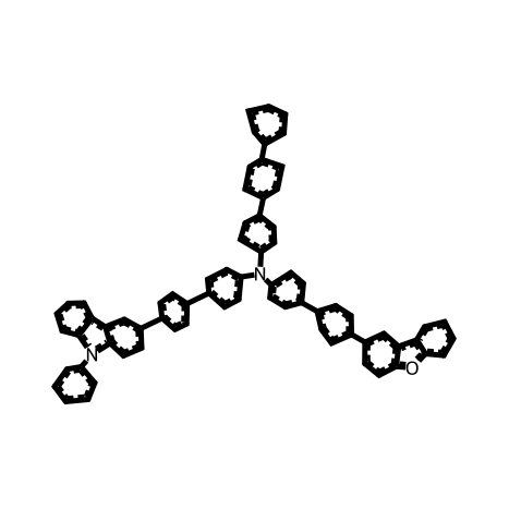 c1ccc(-c2ccc(-c3ccc(N(c4ccc(-c5ccc(-c6ccc7oc8ccccc8c7c6)cc5)cc4)c4ccc(-c5ccc(-c6ccc7c(c6)c6ccccc6n7-c6ccccc6)cc5)cc4)cc3)cc2)cc1